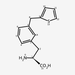 N[C@@H](Cc1cccc(Cc2cccs2)c1)C(=O)O